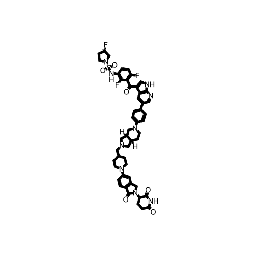 O=C1CCC(N2Cc3cc(N4CCC(CN5C[C@H]6CCN(c7ccc(-c8cnc9[nH]cc(C(=O)c%10c(F)ccc(NS(=O)(=O)N%11CC[C@@H](F)C%11)c%10F)c9c8)cc7)C[C@H]6C5)CC4)ccc3C2=O)C(=O)N1